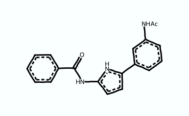 CC(=O)Nc1cccc(-c2ccc(NC(=O)c3ccccc3)[nH]2)c1